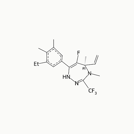 C=C[C@]1(C)C(F)=C(c2cc(C)c(C)c(CC)c2)NN=C(C(F)(F)F)N1C